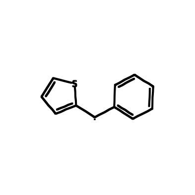 [CH](c1ccccc1)c1cccs1